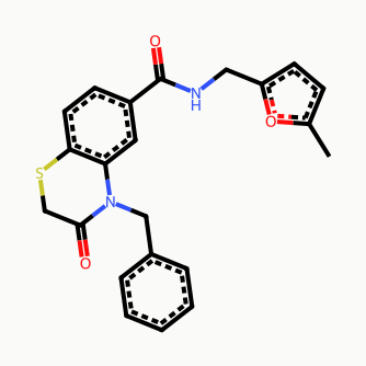 Cc1ccc(CNC(=O)c2ccc3c(c2)N(Cc2ccccc2)C(=O)CS3)o1